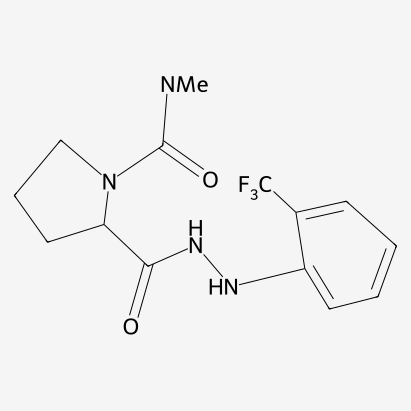 CNC(=O)N1CCCC1C(=O)NNc1ccccc1C(F)(F)F